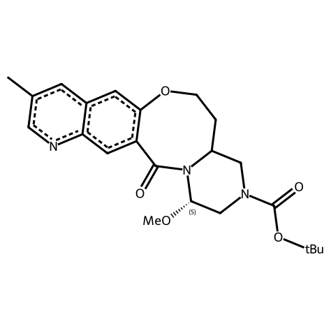 CO[C@H]1CN(C(=O)OC(C)(C)C)CC2CCOc3cc4cc(C)cnc4cc3C(=O)N21